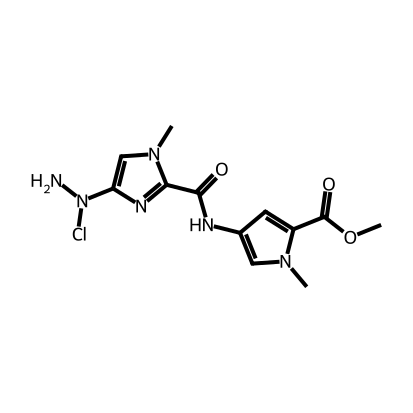 COC(=O)c1cc(NC(=O)c2nc(N(N)Cl)cn2C)cn1C